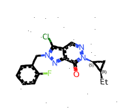 CC[C@@H]1C[C@@H]1n1ncc2c(Cl)n(Cc3ccccc3F)nc2c1=O